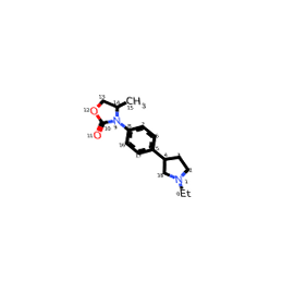 CCN1CCC(c2ccc(N3C(=O)OCC3C)cc2)C1